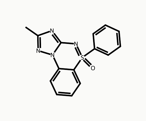 Cc1nc2n(n1)-c1ccccc1S(=O)(c1ccccc1)=N2